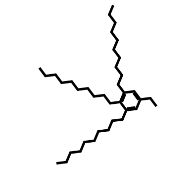 CCCCCCCCCCc1cc(CC)cc(CCCCCCCCCC)c1CCCCCCCCCC